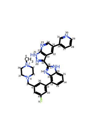 CN1CCN(Cc2cc(F)cc(-c3cccc4[nH]c(-c5n[nH]c6ncc(-c7cccnc7)cc56)nc34)c2)CC1